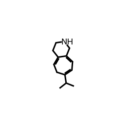 CC(C)C1=CC=C2CNCCC2=CC1